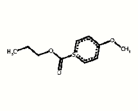 CCCOC(=O)[si]1ccc(OC)cc1